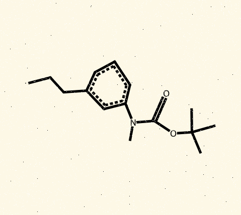 [CH2]CCc1cccc(N(C)C(=O)OC(C)(C)C)c1